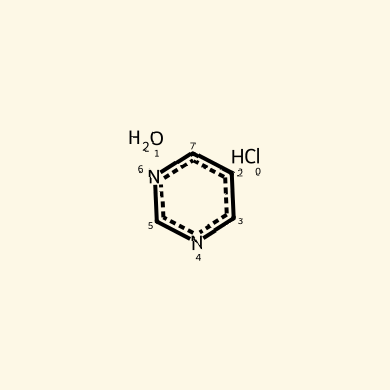 Cl.O.c1cncnc1